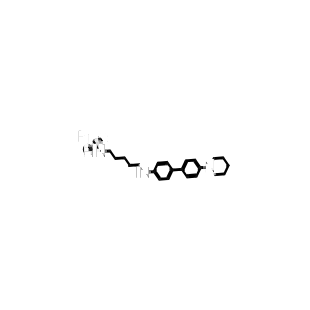 CC(C)S(=O)(=O)NCCCCCNc1ccc(-c2ccc(N3CCCCC3)cc2)cc1